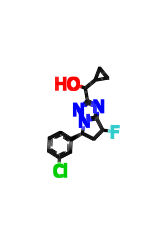 OC(c1nc2n(n1)[C@H](c1cccc(Cl)c1)CC2F)C1CC1